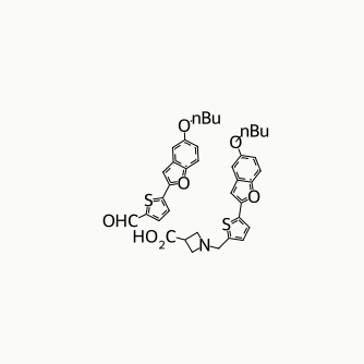 CCCCOc1ccc2oc(-c3ccc(C=O)s3)cc2c1.CCCCOc1ccc2oc(-c3ccc(CN4CC(C(=O)O)C4)s3)cc2c1